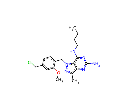 CCCCNc1nc(N)nc2c(C)nn(Cc3ccc(CCl)cc3OC)c12